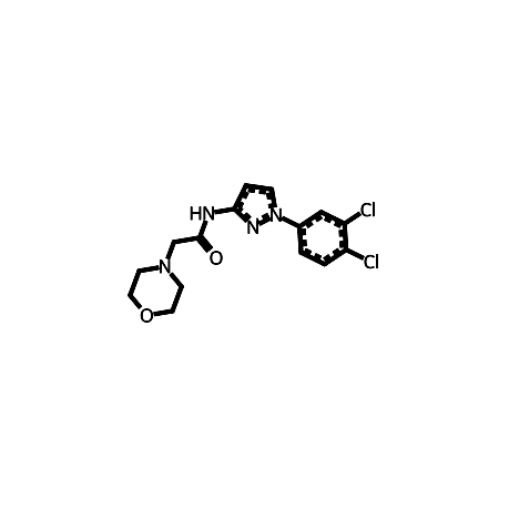 O=C(CN1CCOCC1)Nc1ccn(-c2ccc(Cl)c(Cl)c2)n1